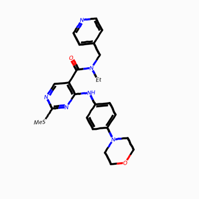 CCN(Cc1ccncc1)C(=O)c1cnc(SC)nc1Nc1ccc(N2CCOCC2)cc1